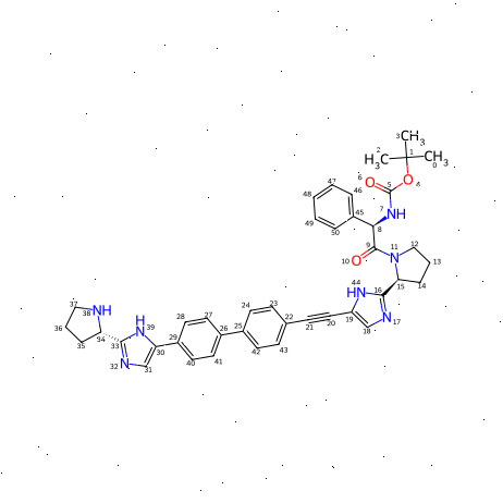 CC(C)(C)OC(=O)N[C@@H](C(=O)N1CCC[C@H]1c1ncc(C#Cc2ccc(-c3ccc(-c4cnc([C@@H]5CCCN5)[nH]4)cc3)cc2)[nH]1)c1ccccc1